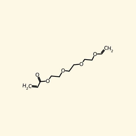 C=COCCOCCOCCOC(=O)C=C